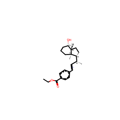 CCOC(=O)c1ccc(/C=C/[C@@H](C)[C@H]2CC[C@H]3[C@@H](O)CCC[C@]23C)cc1